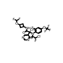 C[C@](C(=O)NC1CC(OC(F)F)C1)(c1cncnc1)N(C(=O)[C@H](F)Cl)c1ccc(OC(F)(F)F)cc1F